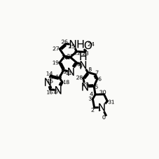 CN1CCC(c2ccc(Nc3nc(-c4cncnc4)cc4c3C(C=O)NC=C4)cn2)CC1